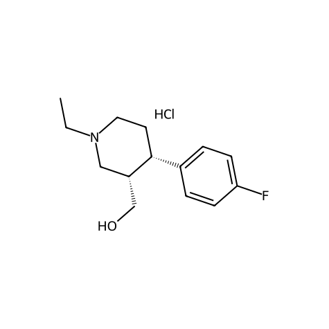 CCN1CC[C@H](c2ccc(F)cc2)[C@H](CO)C1.Cl